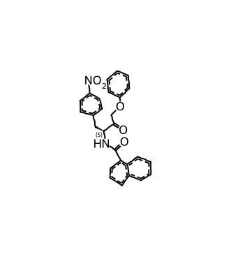 O=C(N[C@@H](Cc1ccc([N+](=O)[O-])cc1)C(=O)COc1ccccc1)c1cccc2ccccc12